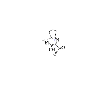 CC/C(C)=C(\N=C1\CCCN1C)C(=O)C1CC1